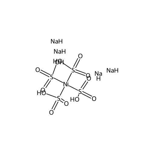 O=[S](=O)(O)[Ni]([S](=O)(=O)O)([S](=O)(=O)O)[S](=O)(=O)O.[NaH].[NaH].[NaH].[NaH]